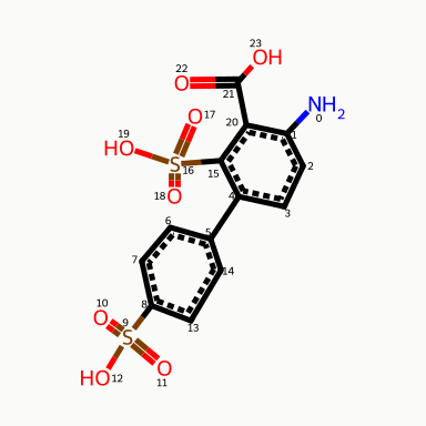 Nc1ccc(-c2ccc(S(=O)(=O)O)cc2)c(S(=O)(=O)O)c1C(=O)O